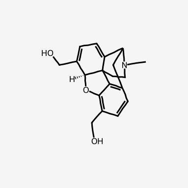 CN1CCC23C4=CC=C(CO)[C@@H]2Oc2c(CO)ccc(c23)CC41